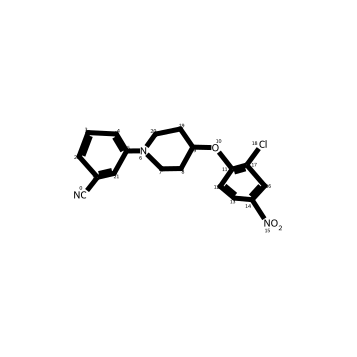 N#Cc1cccc(N2CCC(Oc3ccc([N+](=O)[O-])cc3Cl)CC2)c1